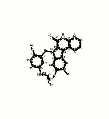 Cc1cc2c3c4cccnc4oc(=O)c3n(Cc3cc(NC=O)ccc3F)c2cc1F